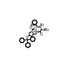 CC[C@H](C)[C@@H](C(=O)NCC1CC(SC(c2ccccc2)(c2ccccc2)c2ccccc2)CN1C(=O)OC(C)(C)C)N(CC)Cc1ccccc1